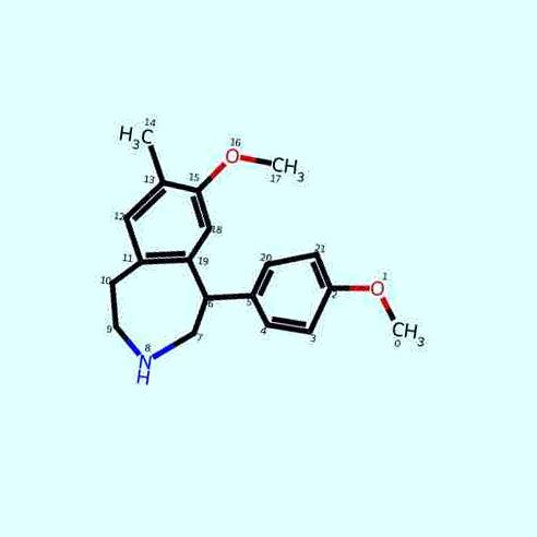 COc1ccc(C2CNCCc3cc(C)c(OC)cc32)cc1